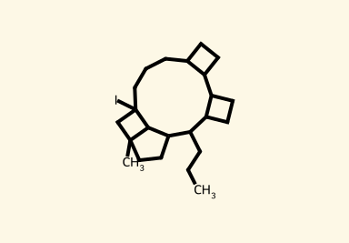 CCCC1C2CCC2C2CCC2CCCC2(I)CC3(C)CCC1C32